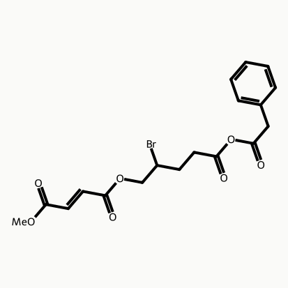 COC(=O)C=CC(=O)OCC(Br)CCC(=O)OC(=O)Cc1ccccc1